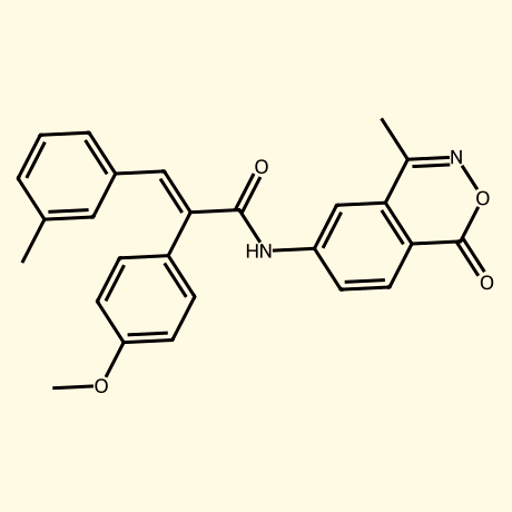 COc1ccc(/C(=C\c2cccc(C)c2)C(=O)Nc2ccc3c(=O)onc(C)c3c2)cc1